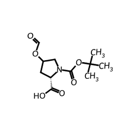 CC(C)(C)OC(=O)N1CC(OC=O)C[C@H]1C(=O)O